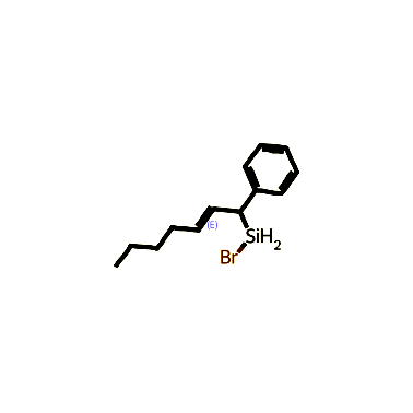 CCCC/C=C/C([SiH2]Br)c1ccccc1